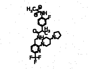 CC(C(=O)NCc1ccc(C(F)(F)F)nc1N1CCC(N2CCCC2)CC1)c1ccc(NS(C)(=O)=O)c(F)c1